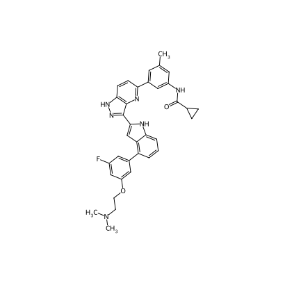 Cc1cc(NC(=O)C2CC2)cc(-c2ccc3[nH]nc(-c4cc5c(-c6cc(F)cc(OCCN(C)C)c6)cccc5[nH]4)c3n2)c1